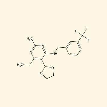 CCc1nc(C)nc(NCc2cccc(C(F)(F)F)c2)c1C1OCCO1